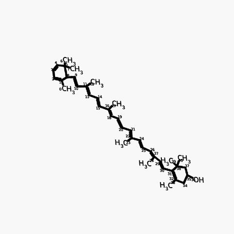 CC1=CC=CC(C)(C)C1/C=C/C(C)=C/C=C/C(C)=C/C=C/C=C(C)/C=C/C=C(C)/C=C/C1=C(C)CC(O)CC1(C)C